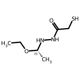 CCO[C@@H](C)NNC(=O)CS